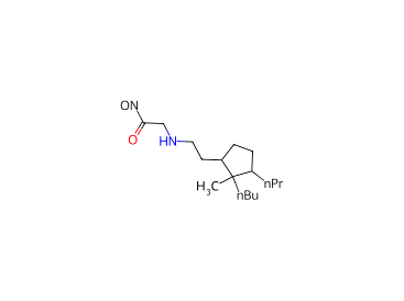 CCCCC1(C)C(CCC)CCC1CCNCC(=O)N=O